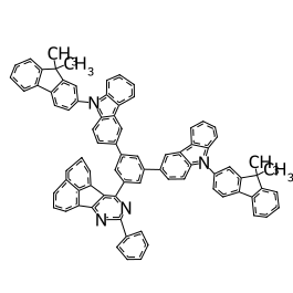 CC1(C)c2ccccc2-c2ccc(-n3c4ccccc4c4cc(-c5cc(-c6ccc7c(c6)c6ccccc6n7-c6ccc7c(c6)C(C)(C)c6ccccc6-7)cc(-c6nc(-c7ccccc7)nc7c6-c6cccc8cccc-7c68)c5)ccc43)cc21